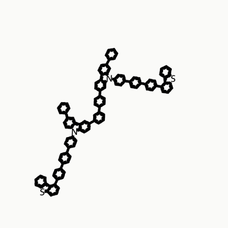 c1ccc(-c2ccc3c(c2)c2cc(-c4cccc(-c5ccc(-c6ccc7c8ccc(-c9ccccc9)cc8n(-c8ccc(-c9ccc(-c%10ccc(-c%11cccc%12sc%13ccccc%13c%11%12)cc%10)cc9)cc8)c7c6)cc5)c4)ccc2n3-c2ccc(-c3ccc(-c4ccc(-c5cccc6sc7ccccc7c56)cc4)cc3)cc2)cc1